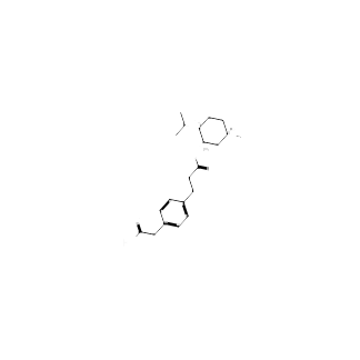 CC(C)[C@@H]1CC[C@@H](C)C[C@H]1OC(=O)CCc1ccc(CC(=O)O)cc1